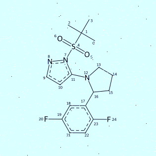 CC(C)(C)S(=O)(=O)n1nccc1N1CCCC1c1cc(F)ccc1F